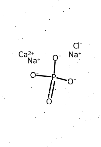 O=P([O-])([O-])[O-].[Ca+2].[Cl-].[Na+].[Na+]